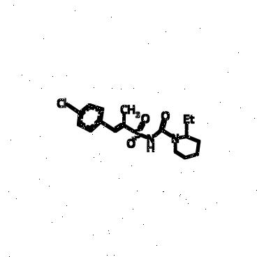 CCC1CCCCN1C(=O)NS(=O)(=O)C(C)=Cc1ccc(Cl)cc1